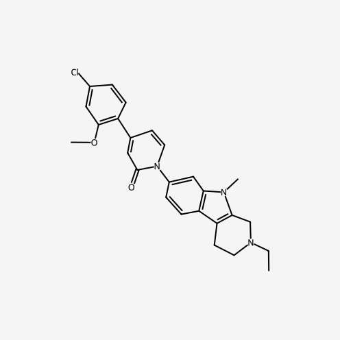 CCN1CCc2c(n(C)c3cc(-n4ccc(-c5ccc(Cl)cc5OC)cc4=O)ccc23)C1